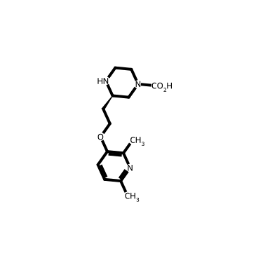 Cc1ccc(OCC[C@@H]2CN(C(=O)O)CCN2)c(C)n1